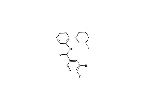 CC1CC(c2ccncc2NC(=O)c2ccc(F)c(Br)n2)C[C@H](C)C1